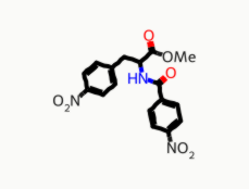 COC(=O)C(Cc1ccc([N+](=O)[O-])cc1)NC(=O)c1ccc([N+](=O)[O-])cc1